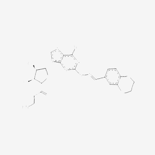 NCCC(=O)[C@H]1O[C@@H](n2cnc3c(N)nc(N/N=C/c4ccc5c(c4)OCCO5)nc32)[C@H](O)[C@@H]1O